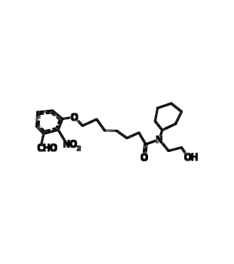 O=Cc1cccc(OCCCCCCC(=O)N(CCO)C2CCCCC2)c1[N+](=O)[O-]